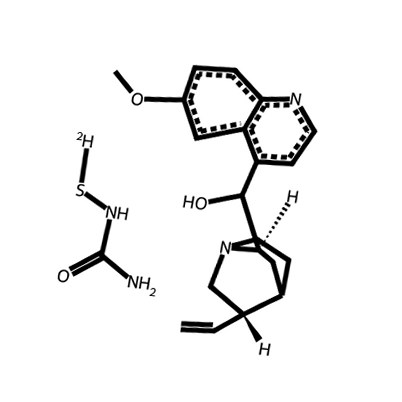 C=C[C@@H]1CN2CCC1C[C@@H]2C(O)c1ccnc2ccc(OC)cc12.[2H]SNC(N)=O